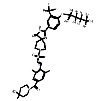 [2H]C([2H])([2H])C([2H])([2H])C([2H])([2H])C([2H])([2H])Oc1ccc(C2=NC3(CCN(S(=O)(=O)/C=C/c4c(C)cc(C(=O)N5CCC(C)(O)CC5)cc4C)CC3)C(=O)N2)cc1C(F)(F)F